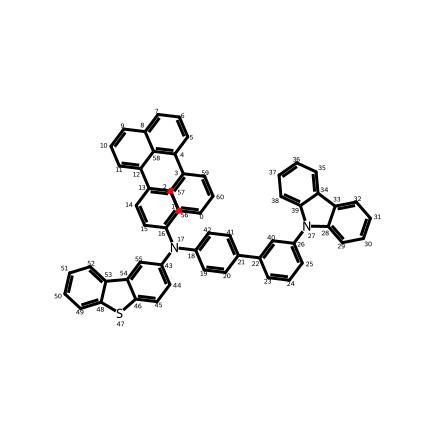 c1ccc(-c2cccc3cccc(-c4ccc(N(c5ccc(-c6cccc(-n7c8ccccc8c8ccccc87)c6)cc5)c5ccc6sc7ccccc7c6c5)cc4)c23)cc1